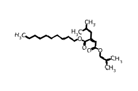 CCCCCCCCCCOC(=O)/C(=C\C(=O)OCC(C)C)CC(C)C